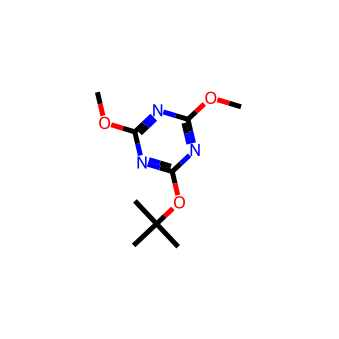 COc1nc(OC)nc(OC(C)(C)C)n1